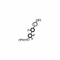 CCCCCOc1ccc(-c2ccc(C3CCC(OCC)CO3)cc2F)c(F)c1F